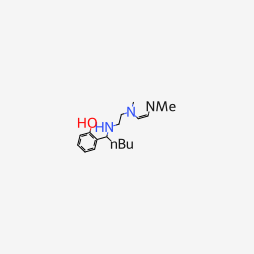 CCCCC(NCCN(C)/C=C\NC)c1ccccc1O